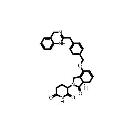 O=C1CCC(N2CC3=C(OCc4ccc(CC5=NCc6ccccc6N5)cc4)C=CC[C@H]3C2=O)C(=O)N1